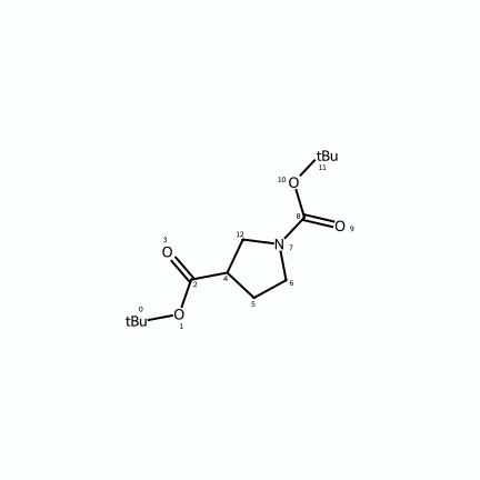 CC(C)(C)OC(=O)C1CCN(C(=O)OC(C)(C)C)C1